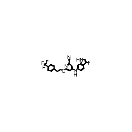 N#Cc1cc(Nc2ccc3c(F)c[nH]c3c2)cc(OCCc2ccc(C(F)(F)F)cc2)n1